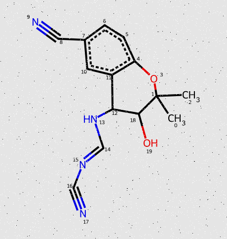 CC1(C)Oc2ccc(C#N)cc2C(N/C=N/C#N)C1O